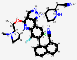 C[C@H](Oc1nc2c(F)c(-c3cccc4cccc(C#N)c34)c(Cl)cc2c2c1cnn2[C@H]1CCN[C@H](CC#N)C1)[C@@H]1CCCN1C